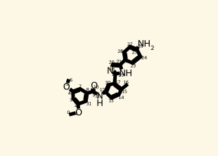 COc1cc(OC)cc(C(=O)Nc2ccc(C)c(-c3ncc(-c4ccc(N)cc4)[nH]3)c2)c1